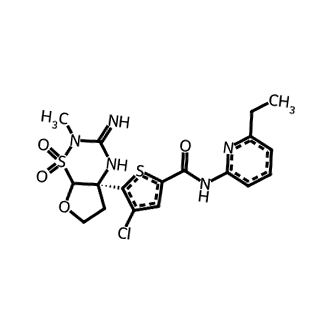 CCc1cccc(NC(=O)c2cc(Cl)c([C@]34CCOC3S(=O)(=O)N(C)C(=N)N4)s2)n1